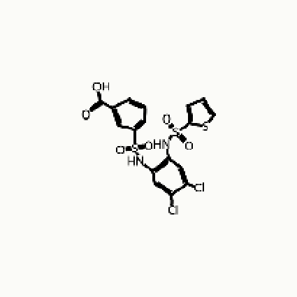 O=C(O)c1cccc(S(=O)(=O)Nc2cc(Cl)c(Cl)cc2NS(=O)(=O)c2cccs2)c1